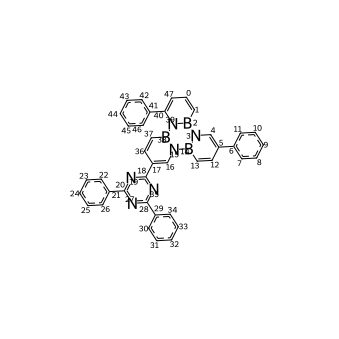 C1=CB2N3C=C(c4ccccc4)C=CB3N3C=C(c4nc(-c5ccccc5)nc(-c5ccccc5)n4)C=CB3N2C(c2ccccc2)=C1